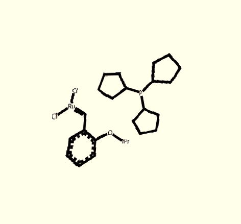 C1CCC(P(C2CCCC2)C2CCCC2)C1.CC(C)Oc1ccccc1[CH]=[Ru]([Cl])[Cl]